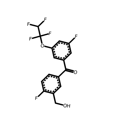 O=C(c1cc(F)cc(OC(F)(F)C(F)F)c1)c1ccc(F)c(CO)c1